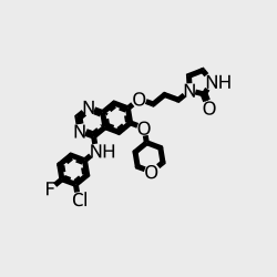 O=C1NCCN1CCCOc1cc2ncnc(Nc3ccc(F)c(Cl)c3)c2cc1OC1CCOCC1